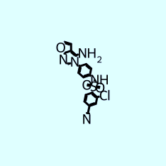 N#Cc1ccc(S(=O)(=O)Nc2ccc(N3CN=c4occc4=C3N)cc2)c(Cl)c1